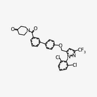 O=C1CCN(C(=O)c2cccc(-c3ccc(OCc4cc(C(F)(F)F)nn4-c4c(Cl)cccc4Cl)cc3)c2)CC1